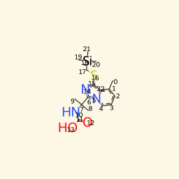 Cc1cccn2c(C(C)(C)NC(=O)O)nc(SC[Si](C)(C)C)c12